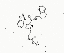 CN(CCc1nc(C(=O)NCC2CCCc3cccnc32)cs1)C(=O)OC(C)(C)C.c1ccc2onnc2c1